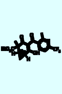 CCOC(=O)C1(C)C(=O)C(C(=O)c2ccc(C(F)(F)F)nc2C)=C(O)[C@H]2C[C@@H]21